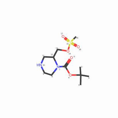 CC(C)(C)OC(=O)N1CCNCC1COS(C)(=O)=O